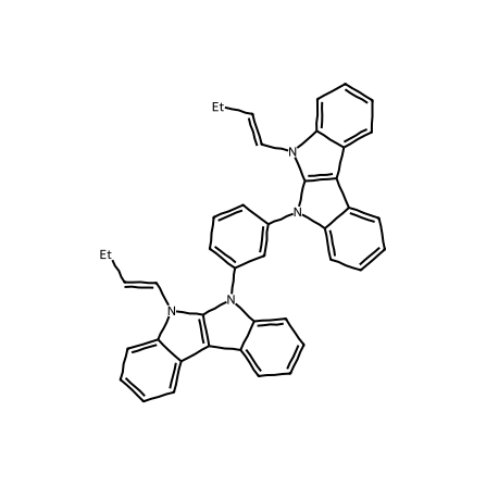 CC/C=C/n1c2ccccc2c2c3ccccc3n(-c3cccc(-n4c5ccccc5c5c6ccccc6n(/C=C/CC)c54)c3)c21